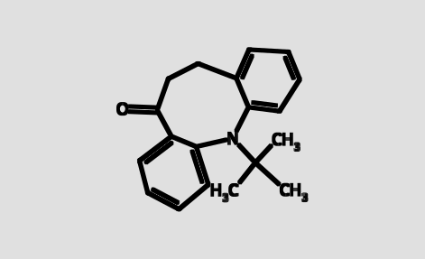 CC(C)(C)N1c2ccccc2CCC(=O)c2ccccc21